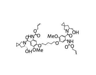 C=CCOC(=O)Nc1cc(OCCCCCOc2cc(NC(=O)OCC=C)c(C(=O)N3CC4(CC4)C[C@H]3CO)cc2OC)c(OC)cc1C(=O)N1CC2(CC2)C[C@H]1CO